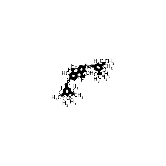 CC(C)(C)C1=CC(=C/N=N/c2ccc(-c3ccc(/N=N/C=C4C=C(C(C)(C)C)C(=O)C(C(C)(C)C)=C4)c(O)c3C(F)(F)F)c(C(F)(F)F)c2O)C=C(C(C)(C)C)C1=O